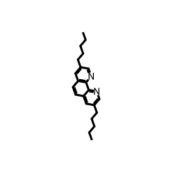 CCCCCc1cnc2c(ccc3cc(CCCCC)cnc32)c1